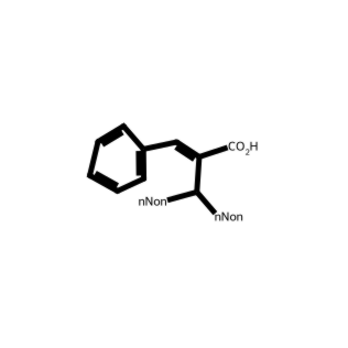 CCCCCCCCCC(CCCCCCCCC)C(=Cc1ccccc1)C(=O)O